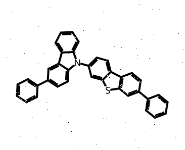 c1ccc(-c2ccc3c(c2)sc2cc(-n4c5ccccc5c5cc(-c6ccccc6)ccc54)ccc23)cc1